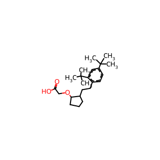 CC(C)(C)c1ccc(CCC2CCCC2OCC(=O)O)c(C(C)(C)C)c1